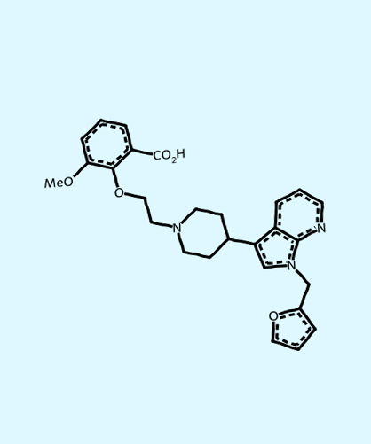 COc1cccc(C(=O)O)c1OCCN1CCC(c2cn(Cc3ccco3)c3ncccc23)CC1